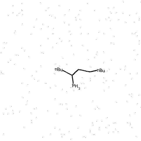 CCCCCCC(P)CCCC